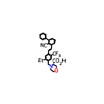 CCc1cc(/C=C/c2cccc(-c3ccccc3)c2C#N)c(C(F)(F)F)cc1CN1CCOC[C@H]1C(=O)O